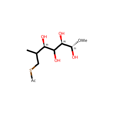 CO[C@H](O)[C@H](O)C(O)[C@H](O)C(C)CSC(C)=O